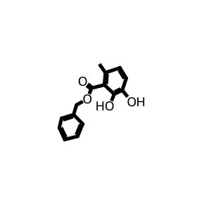 Cc1ccc(O)c(O)c1C(=O)OCc1ccccc1